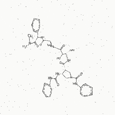 CCC[C@H](NC(=O)[C@@H]1CN(C(=O)Nc2ccccc2)C[C@@H]1NC(=O)Nc1ccccc1)C(O)C(=O)NCC(=O)NC(C(=O)N(C)C)c1ccccc1